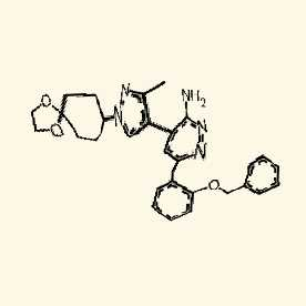 Cc1nn(C2CCC3(CC2)OCCO3)cc1-c1cc(-c2ccccc2OCc2ccccc2)nnc1N